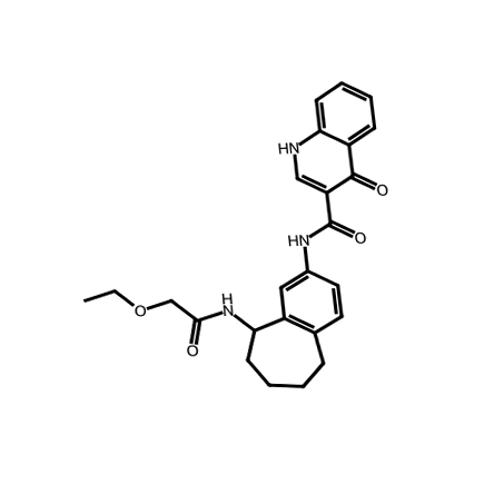 CCOCC(=O)NC1CCCCc2ccc(NC(=O)c3c[nH]c4ccccc4c3=O)cc21